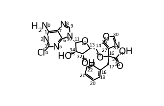 Nc1nc(Cl)nc2c1ncn2[C@@H]1O[C@H](CO[C@@](Cc2ccccc2)(C(=O)O)c2cocn2)[C@@H](O)[C@H]1O